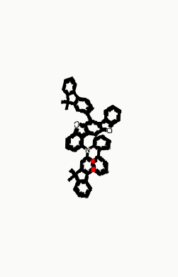 CC1(C)c2ccccc2-c2ccc(-c3c4oc5cccc(N(c6ccc7c(c6)C(C)(C)c6ccccc6-7)c6ccccc6-c6ccccc6)c5c4cc4oc5ccccc5c34)cc21